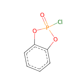 O=P1(Cl)Oc2ccccc2O1